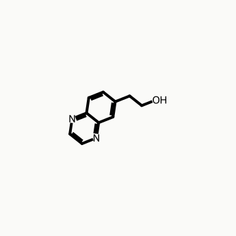 OCCc1ccc2nccnc2c1